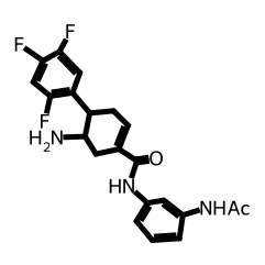 CC(=O)Nc1cccc(NC(=O)C2=CCC(c3cc(F)c(F)cc3F)C(N)C2)c1